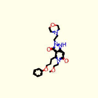 COCCn1c(CCCOc2ccccc2)c2c(=O)n(CCN3CCOCC3)[nH]c2cc1=O